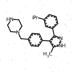 Cc1[nH]nc(-c2cccc(C(C)C)c2)c1-c1ccc(CN2CCNCC2)cc1